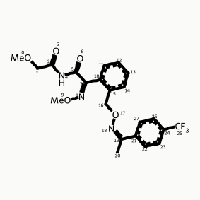 COCC(=O)NC(=O)C(=NOC)c1ccccc1CON=C(C)c1ccc(C(F)(F)F)cc1